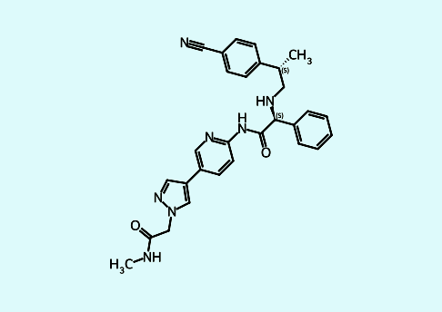 CNC(=O)Cn1cc(-c2ccc(NC(=O)[C@@H](NC[C@@H](C)c3ccc(C#N)cc3)c3ccccc3)nc2)cn1